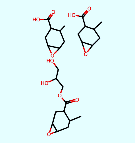 CC1CC2OC2CC1C(=O)O.CC1CC2OC2CC1C(=O)O.CC1CC2OC2CC1C(=O)OCC(O)CO